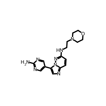 Nc1ncc(-c2cnc3ccc(NCCN4CCOCC4)nn23)cn1